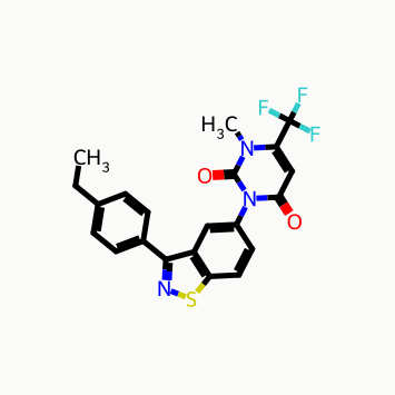 CCc1ccc(-c2nsc3ccc(-n4c(=O)cc(C(F)(F)F)n(C)c4=O)cc23)cc1